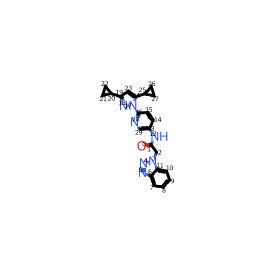 O=C(Cn1nnc2ccccc21)Nc1ccc(-n2nc(C3CC3)cc2C2CC2)nc1